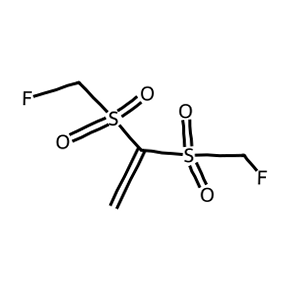 C=C(S(=O)(=O)CF)S(=O)(=O)CF